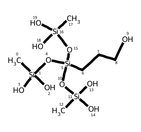 C[Si](O)(O)O[Si](CCCO)(O[Si](C)(O)O)O[Si](C)(O)O